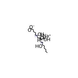 CCCCCC(O)/C=C/[C@@H]1[C@H]2C/C(=C/CCCC(=O)[O-])O[C@H]2C[C@H]1O.[Na+]